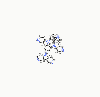 c1ccc(-n2c3ccncc3c3cc(-n4c5ccncc5c5cnccc54)cc(-n4c5ccncc5c5cnccc54)c32)cc1